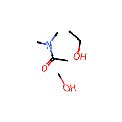 CC(=O)N(C)C.CCO.CO